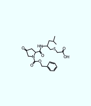 CC(C)CC(CSCC(=O)O)NC(=O)C1CC(=O)CN1C(=O)OCc1ccccc1